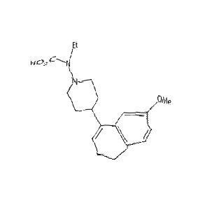 CCN(C(=O)O)N1CCC(C2=CCCc3ccc(OC)cc32)CC1